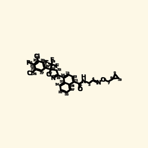 O=C(NC/C=N/OCC1CC1)c1ccc(C2=NOC(c3cc(Cl)c(F)c(Cl)c3)(C(F)(F)F)C2)c2ccccc12